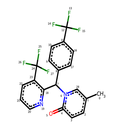 Cc1ccc(=O)n(C(c2ccc(C(F)(F)F)cc2)c2ncccc2C(F)(F)F)c1